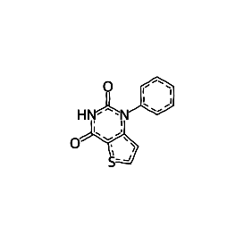 O=c1[nH]c(=O)n(-c2ccccc2)c2ccsc12